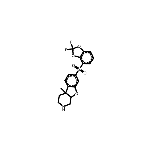 CC12CCNCC1Oc1cc(S(=O)(=O)c3cccc4c3OC(F)(F)O4)ccc12